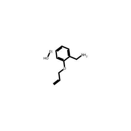 C=CCOc1ccccc1CN.CCO